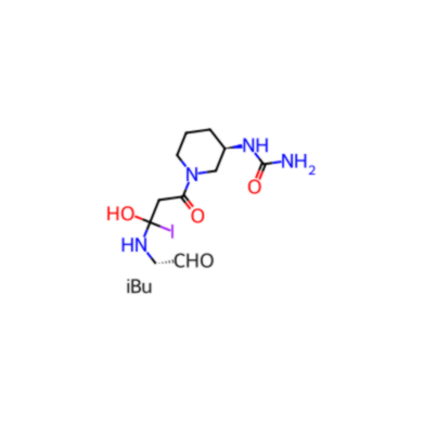 CC[C@H](C)[C@@H](C=O)NC(O)(I)CC(=O)N1CCC[C@@H](NC(N)=O)C1